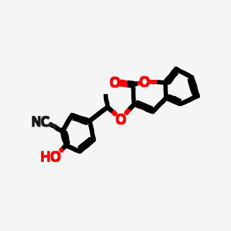 CC(Oc1cc2ccccc2oc1=O)c1ccc(O)c(C#N)c1